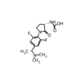 C[C@H](c1cc(F)c(N2CC[C@H](NC(=O)O)C2=O)c(F)c1)N(C)C